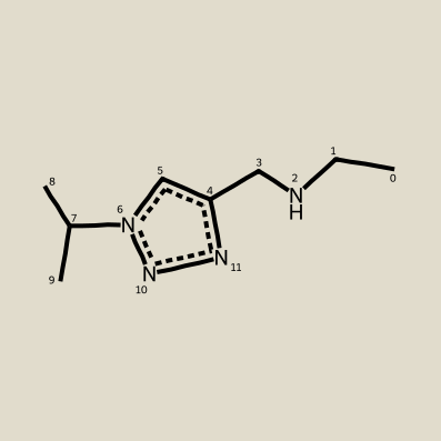 CCNCc1cn(C(C)C)nn1